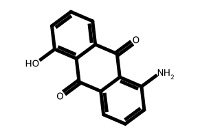 Nc1cccc2c1C(=O)c1cccc(O)c1C2=O